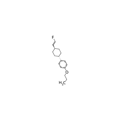 CCCOc1ccc([C@H]2CC[C@H](C=CF)CC2)cc1